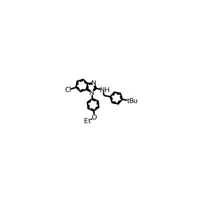 CCOc1ccc(-n2c(NCc3ccc(C(C)(C)C)cc3)nc3ccc(Cl)cc32)cc1